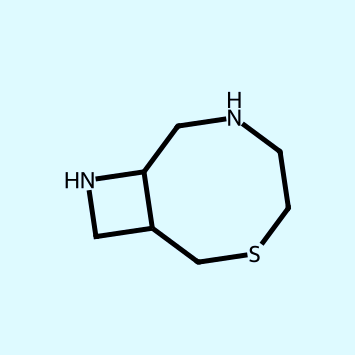 C1CSCC2CNC2CN1